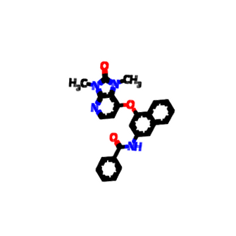 Cn1c(=O)n(C)c2c(Oc3cc(NC(=O)c4ccccc4)cc4ccccc34)ccnc21